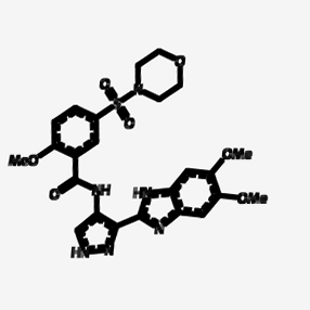 COc1cc2nc(-c3n[nH]cc3NC(=O)c3cc(S(=O)(=O)N4CCOCC4)ccc3OC)[nH]c2cc1OC